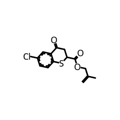 C=C(C)COC(=O)C1CC(=O)c2cc(Cl)ccc2S1